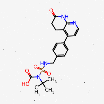 CC(C)(C)N(C(=O)O)S(=O)(=O)NCc1ccc(-c2ccnc3c2CCC(=O)N3)cc1